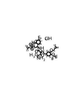 C[C@H](N)c1oc(-c2ccc(OC(F)F)c(OCC3CC3)c2)nc1C(=O)NC(CNS(=O)(=O)C1CC1)c1ccc(F)cc1F.Cl